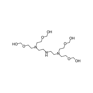 OCOCCN(CCNCCN(CCOCO)CCOCO)CCOCO